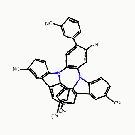 N#Cc1cccc(-c2cc(-n3c4ccc(C#N)cc4c4cc(C#N)ccc43)c(-n3c4ccc(C#N)cc4c4cc(C#N)ccc43)cc2C#N)c1